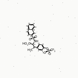 CC(c1ccc(OS(=O)(=O)C(F)(F)F)cc1)C(NS(=O)(=O)c1ccc2ccccc2c1)C(=O)O